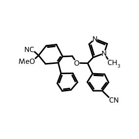 COC1(C#N)C=CC(COC(c2ccc(C#N)cc2)c2cncn2C)=C(c2ccccc2)C1